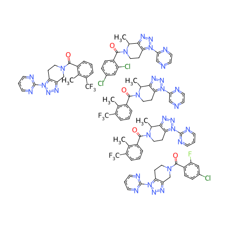 CC1c2nnn(-c3cnccn3)c2CCN1C(=O)c1ccc(Cl)cc1Cl.Cc1c(C(=O)N2CCc3c(nnn3-c3cnccn3)C2C)cccc1C(F)(F)F.Cc1c(C(=O)N2CCc3c(nnn3-c3ncccn3)C2)cccc1C(F)(F)F.Cc1c(C(=O)N2CCc3c(nnn3-c3ncccn3)C2C)cccc1C(F)(F)F.O=C(c1ccc(Cl)cc1F)N1CCc2c(nnn2-c2ncccn2)C1